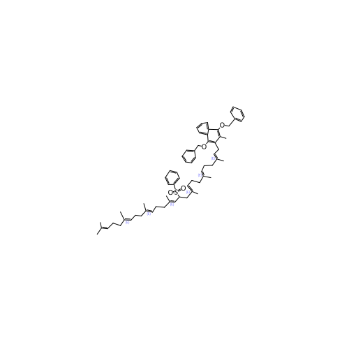 CC(C)=CCC/C(C)=C/CC/C(C)=C/CC/C(C)=C/C(C/C(C)=C/CC/C(C)=C/CC/C(C)=C/Cc1c(C)c(OCc2ccccc2)c2ccccc2c1OCc1ccccc1)S(=O)(=O)c1ccccc1